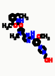 CCc1cccc(CC)c1NC(=O)Oc1cc(-c2ccnc(Nc3ccc(N4CCN(CCO)CC4)cc3OC)n2)n(C)c1